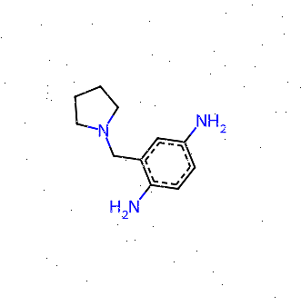 Nc1ccc(N)c(CN2CCCC2)c1